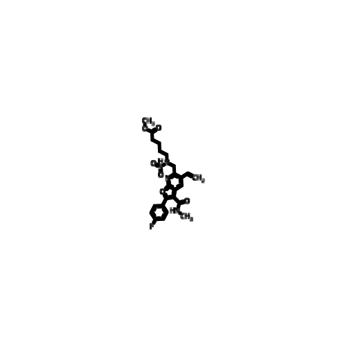 C=Cc1cc2c(C(=O)NC)c(-c3ccc(F)cc3)oc2nc1CN(CCCCC(=O)OC)[SH](=O)=O